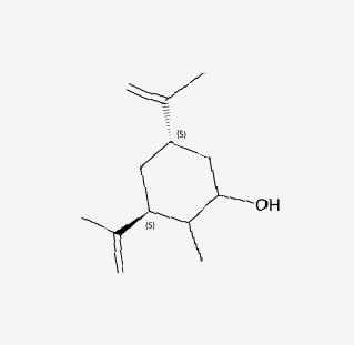 C=C(C)[C@@H]1CC(O)C(C)[C@@H](C(=C)C)C1